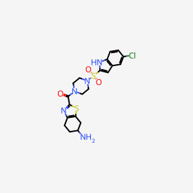 NC1CCc2nc(C(=O)N3CCN(S(=O)(=O)c4cc5cc(Cl)ccc5[nH]4)CC3)sc2C1